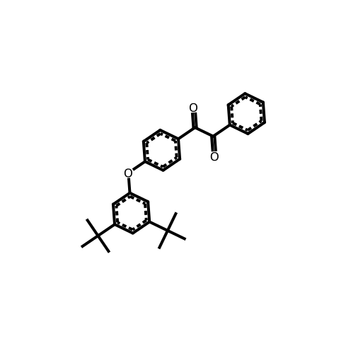 CC(C)(C)c1cc(Oc2ccc(C(=O)C(=O)c3ccccc3)cc2)cc(C(C)(C)C)c1